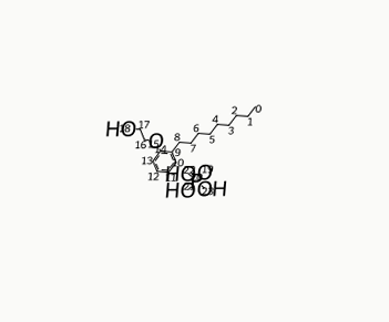 CCCCCCCCCc1ccccc1OCCO.O=P(O)(O)O